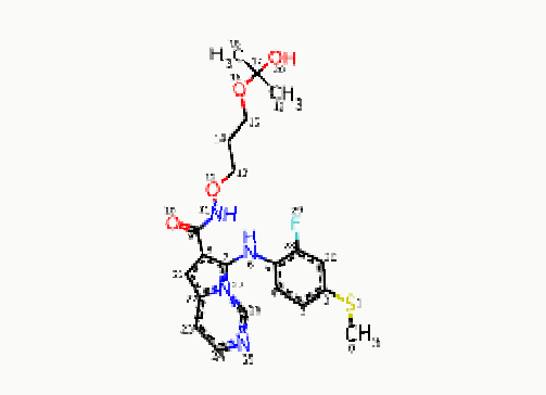 CSc1ccc(Nc2c(C(=O)NOCCCOC(C)(C)O)cc3ccncn23)c(F)c1